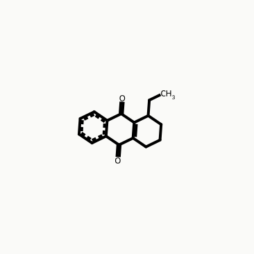 CCC1CCCC2=C1C(=O)c1ccccc1C2=O